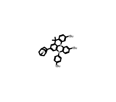 CC(C)(C)c1ccc(N2c3ccc(C(C)(C)C)cc3B3c4cc(C(C)(C)C)ccc4C(C)(C)c4cc(C56CC7CC(CC5C7)C6)cc2c43)cc1